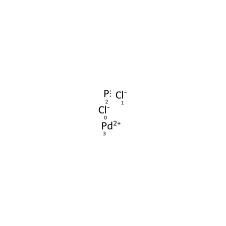 [Cl-].[Cl-].[P].[Pd+2]